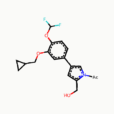 CC(=O)n1cc(-c2ccc(OC(F)F)c(OCC3CC3)c2)cc1CO